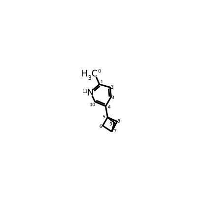 Cc1ccc(C23CC(C2)C3)cn1